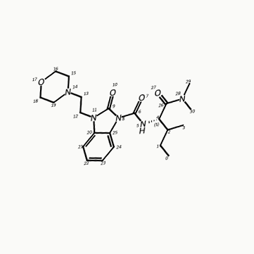 CCC(C)[C@H](NC(=O)n1c(=O)n(CCN2CCOCC2)c2ccccc21)C(=O)N(C)C